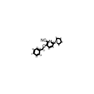 N#Cc1nc(N2CCCC2)ccc1OCc1ccccc1